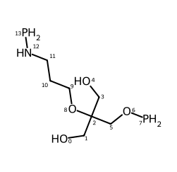 OCC(CO)(COP)OCCCNP